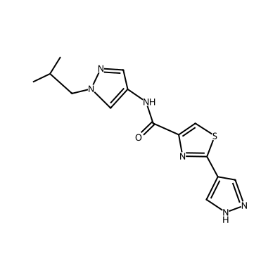 CC(C)Cn1cc(NC(=O)c2csc(-c3cn[nH]c3)n2)cn1